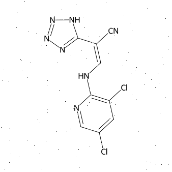 N#CC(=CNc1ncc(Cl)cc1Cl)c1nnn[nH]1